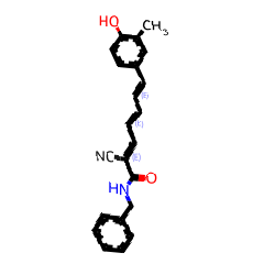 Cc1cc(/C=C/C=C/C=C(\C#N)C(=O)NCc2ccccc2)ccc1O